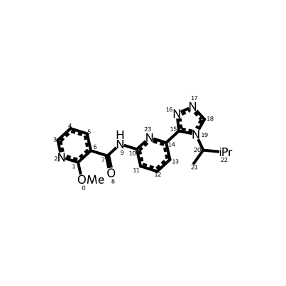 COc1ncccc1C(=O)Nc1cccc(-c2nncn2C(C)C(C)C)n1